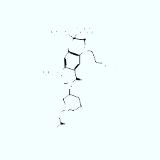 CNc1cc2c(cc1C(=O)N(C(C)C)C1CCCN(OC(=O)C(C)(C)C)C1)N(CCN)C(=O)C(NC)(NC)O2